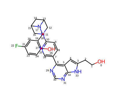 OCCc1cc2c(-c3ccc(N4CC5CC(C4)N5Cc4cc(F)ccc4O)nc3)ncnc2[nH]1